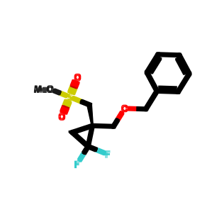 COS(=O)(=O)C[C@]1(COCc2ccccc2)CC1(F)F